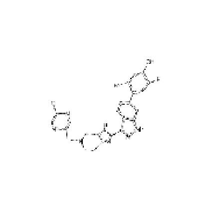 CCc1cc(O)c(F)cc1-c1ccc2c(-c3nc4c([nH]3)CN(Cc3cnc(Cl)cn3)CC4)n[nH]c2c1